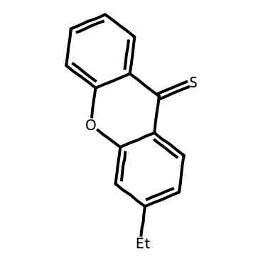 CCc1ccc2c(=S)c3ccccc3oc2c1